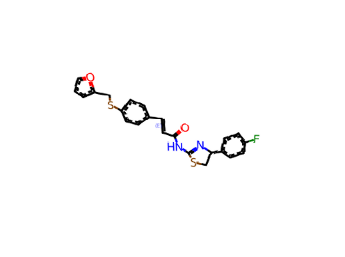 O=C(/C=C/c1ccc(SCc2ccco2)cc1)NC1=NC(c2ccc(F)cc2)CS1